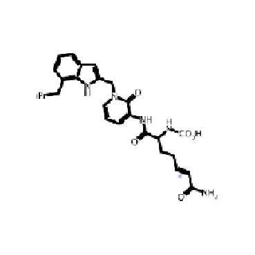 CC(C)Cc1cccc2cc(Cn3cccc(NC(=O)C(CC/C=C/C(N)=O)NC(=O)O)c3=O)[nH]c12